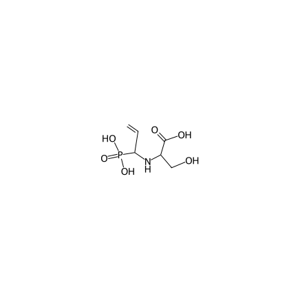 C=CC(NC(CO)C(=O)O)P(=O)(O)O